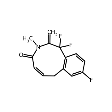 C=C1N(C)C(=O)/C=C\Cc2cc(F)ccc2C1(F)F